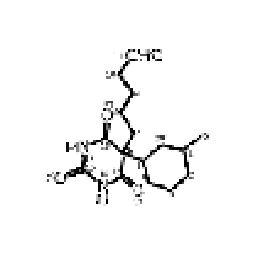 CC1CCCC(C2(CCCCC=O)C(=O)NC(=O)NC2=O)C1